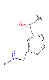 CCC(=O)c1cccc(CNC(C)C)c1